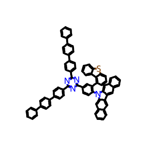 c1ccc(-c2ccc(-c3ccc(-c4nc(-c5ccc(-c6ccc(-c7ccccc7)cc6)cc5)nc(-c5ccc(-n6c7cc8ccccc8cc7c7cc8ccccc8cc76)c(-c6cccc7sc8ccccc8c67)c5)n4)cc3)cc2)cc1